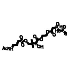 CC(=O)NCCCS(=O)(=O)OCC(C)(C)[C@@H](O)C(=O)OCCOC(=O)C[PH](=O)O[PH](=O)O